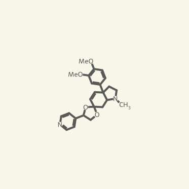 COc1ccc(C23C=CC4(CC2N(C)CC3)OCC(c2ccncc2)O4)cc1OC